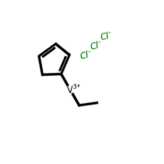 C[CH2][V+3][C]1=CC=CC1.[Cl-].[Cl-].[Cl-]